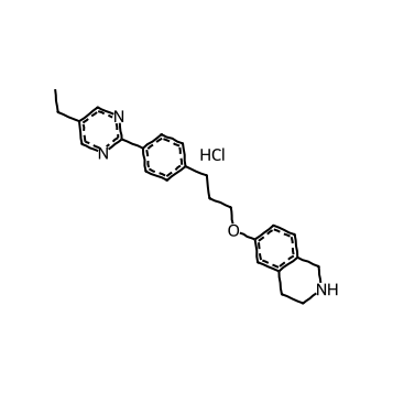 CCc1cnc(-c2ccc(CCCOc3ccc4c(c3)CCNC4)cc2)nc1.Cl